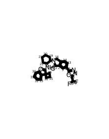 O=C1c2cc(-c3nnc(C(F)F)o3)ccc2CN1[C@@H]1CCCC[C@H]1NC(=O)C1(c2ccccc2)CCC1